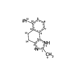 Cc1nc2c([nH]1)-c1cccc(C(C)C)c1CC2